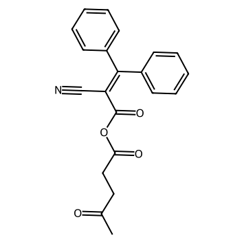 CC(=O)CCC(=O)OC(=O)C(C#N)=C(c1ccccc1)c1ccccc1